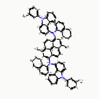 CCCc1cc(N(c2cccc3c2CCCC3)c2cccc3c2c2ccccc2n3-c2cccc(C(C)(C)C)c2)c2ccc3c(CCC)cc(N(c4cccc5c4CCCC5)c4cccc5c4c4ccccc4n5-c4cccc(C(C)(C)C)c4)c4ccc1c2c34